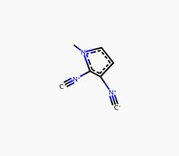 [C-]#[N+]c1ccn(C)c1[N+]#[C-]